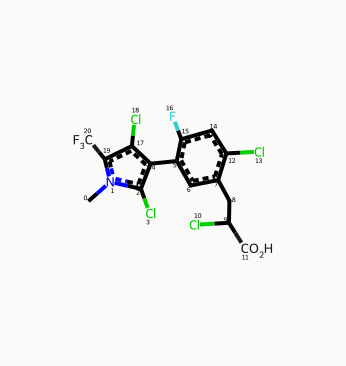 Cn1c(Cl)c(-c2cc(CC(Cl)C(=O)O)c(Cl)cc2F)c(Cl)c1C(F)(F)F